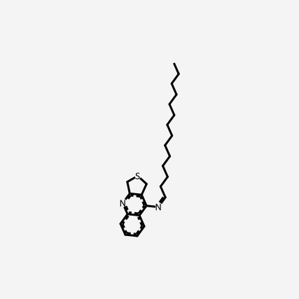 CCCCCCCCCCCCC/C=N\c1c2c(nc3ccccc13)CSC2